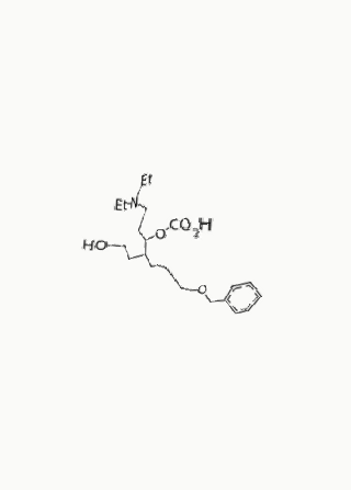 CCN(CC)CCC(OC(=O)O)C(CCO)CCCOCc1ccccc1